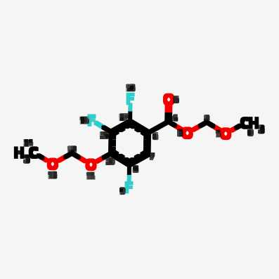 COCOC(=O)c1cc(F)c(OCOC)c(F)c1F